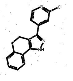 Clc1cc(-c2n[nH]c3c2CCc2ccccc2-3)ccn1